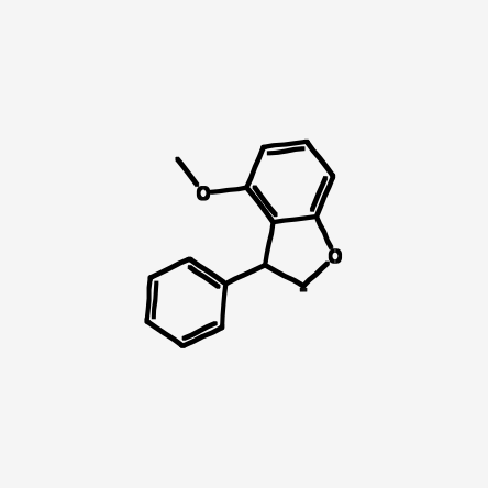 COc1cccc2c1C(c1ccccc1)[C]O2